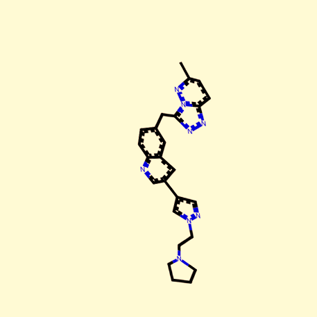 Cc1ccc2nnc(Cc3ccc4ncc(-c5cnn(CCN6CCCC6)c5)cc4c3)n2n1